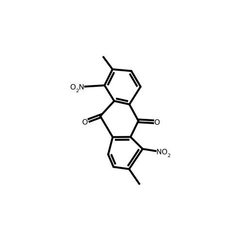 Cc1ccc2c(c1[N+](=O)[O-])C(=O)c1ccc(C)c([N+](=O)[O-])c1C2=O